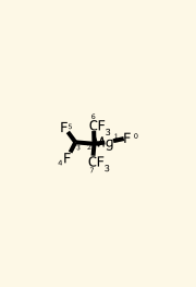 [F][Mg][C](C(F)F)(C(F)(F)F)C(F)(F)F